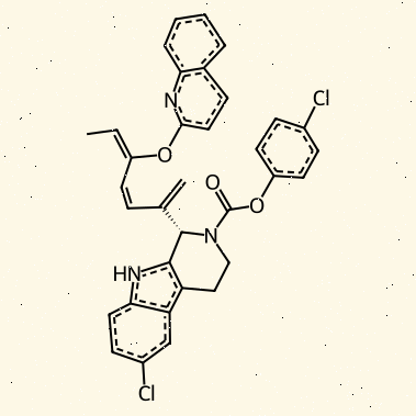 C=C(/C=C\C(=C/C)Oc1ccc2ccccc2n1)[C@H]1c2[nH]c3ccc(Cl)cc3c2CCN1C(=O)Oc1ccc(Cl)cc1